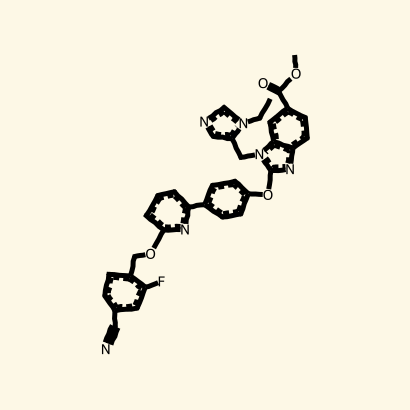 CCn1cncc1Cn1c(Oc2ccc(-c3cccc(OCc4ccc(C#N)cc4F)n3)cc2)nc2ccc(C(=O)OC)cc21